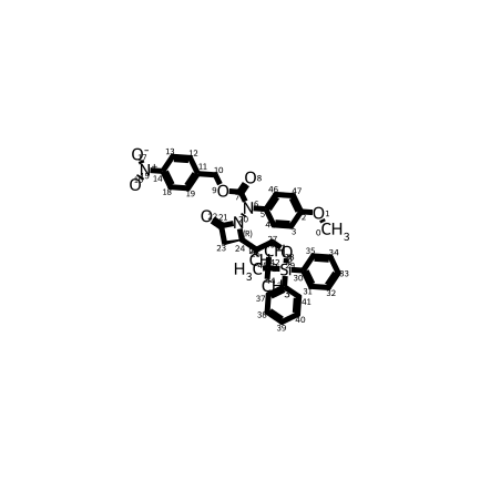 COc1ccc(N(C(=O)OCc2ccc([N+](=O)[O-])cc2)N2C(=O)C[C@@H]2[C@H](C)CO[Si](c2ccccc2)(c2ccccc2)C(C)(C)C)cc1